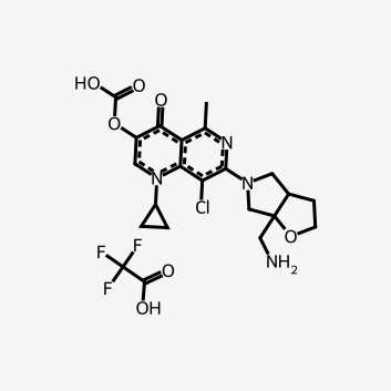 Cc1nc(N2CC3CCOC3(CN)C2)c(Cl)c2c1c(=O)c(OC(=O)O)cn2C1CC1.O=C(O)C(F)(F)F